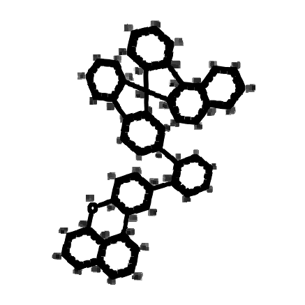 c1ccc(-c2ccc3c(c2)C2(c4ccccc4-3)c3ccccc3-c3c2ccc2ccccc32)c(-c2ccc3c(c2)-c2cccc4cccc(c24)O3)c1